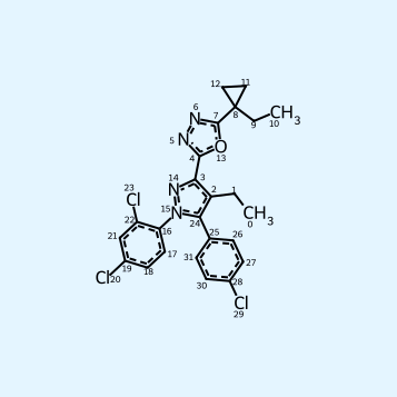 CCc1c(-c2nnc(C3(CC)CC3)o2)nn(-c2ccc(Cl)cc2Cl)c1-c1ccc(Cl)cc1